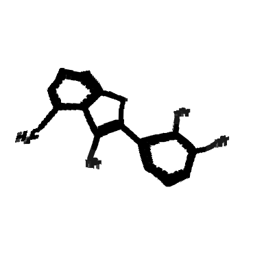 CCCC1=C(c2cccc(CCC)c2CCC)[CH]c2cccc(C)c21